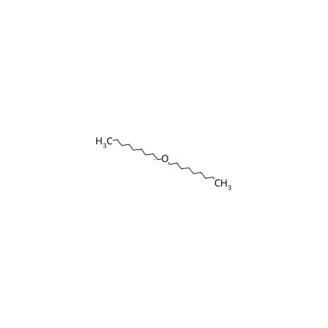 CCCCCCCC[CH]OCCCCCCCCC